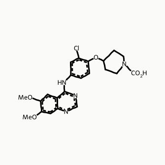 COc1cc2ncnc(Nc3ccc(OC4CCN(C(=O)O)CC4)c(Cl)c3)c2cc1OC